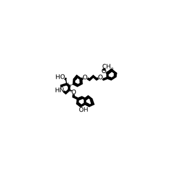 COc1ccccc1COCCCOc1ccc([C@H]2[C@H](CO)CNC[C@@H]2OCc2cc(O)c3ccccc3c2)cc1